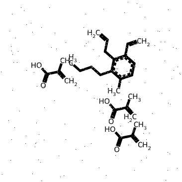 C=C(C)C(=O)O.C=C(C)C(=O)O.C=C(C)C(=O)O.C=CCc1c(C=C)ccc(C)c1CCCC